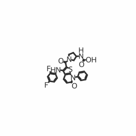 O=C(O)NC1CCN(C(=O)c2sc3c(ccc(=O)n3-c3ccccc3)c2Nc2ccc(F)cc2F)C1